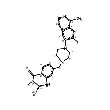 Cc1nc2c(N)nccc2cc1N1CCN(Cc2ccc3c(c2)NC(O)N(C)C3=S)CC1